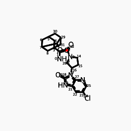 NC(=O)C12CC3CC(C1)C(OC(=O)N1CCC(n4c(=O)[nH]c5cc(Cl)cnc54)C1)C(C3)C2